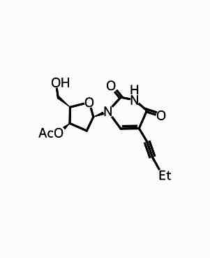 CCC#Cc1cn([C@H]2C[C@@H](OC(C)=O)[C@@H](CO)O2)c(=O)[nH]c1=O